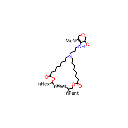 CCCCCCC(CCCCCC)OC(=O)CCCCCCCN(CCCCCCCC(=O)OCC(CCCCC)CCCCC)CCCNC1=C(NC)COCC1=O